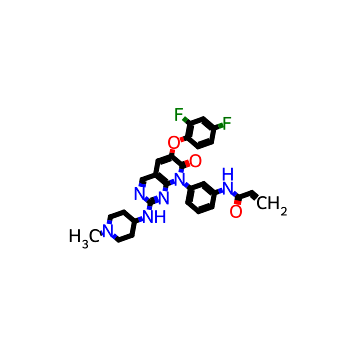 C=CC(=O)Nc1cccc(-n2c(=O)c(Oc3ccc(F)cc3F)cc3cnc(NC4CCN(C)CC4)nc32)c1